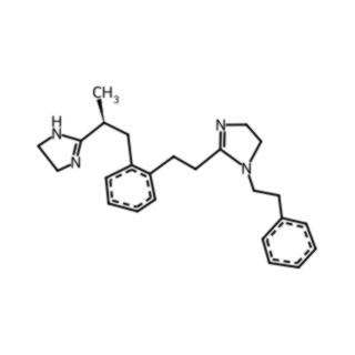 C[C@@H](Cc1ccccc1CCC1=NCCN1CCc1ccccc1)C1=NCCN1